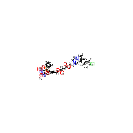 C=C(CN1CCN(CCOC(=O)CCC(=O)OCC#CCOC(=N/OC)/C(=N/O)S(=O)(=O)c2ccccc2)CC1)[C@@H]1CC[C@H](C)[C@H](C(=C)CCl)C1